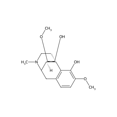 COc1ccc2c(c1O)[C@@]13CCN(C)C(C2)[C@H]1CC(OC)C(O)C3